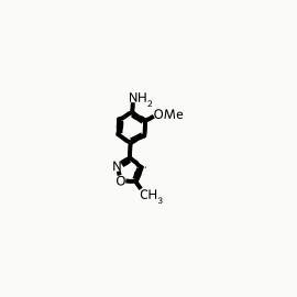 COc1cc(-c2[c]c(C)on2)ccc1N